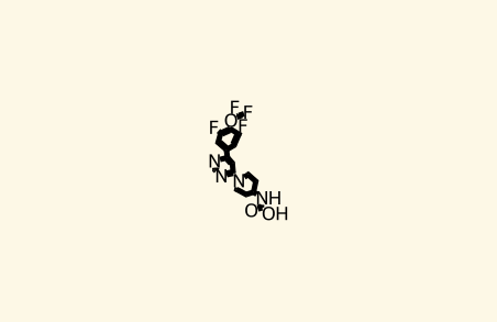 O=C(O)NC1CCN(c2cc(-c3ccc(OC(F)(F)F)c(F)c3)ncn2)CC1